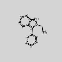 NCc1[nH]c2ccccc2c1-c1ccccc1